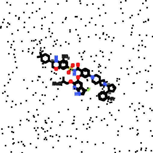 COC(C)COc1nc2[nH]cc(F)c2cc1Oc1cc(N2CCC3(CC2)CN([C@H]2CCC[C@H]2c2ccccc2C(C)C)C3)ccc1C(=O)NS(=O)(=O)c1cc2c(c([N+](=O)[O-])c1)N[C@@H](C1CCC(C)(C)CC1)CO2